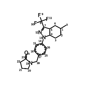 CC1CCC2C(C1)C(C(F)(F)F)=NN2c1ccc(CN2CCCC2=O)cc1